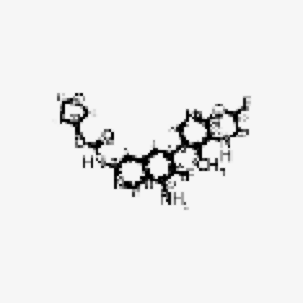 Cc1c(-c2cc3cc(NC(=O)OC4CCOC4)ncc3c(N)c2F)cnc2c1NCC(F)O2